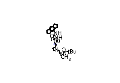 CN(CCN1CCC1/C=C/S(=O)(=O)NC(=O)Nc1c2c(cc3c1CCC3)CCC2)C(=O)OC(C)(C)C